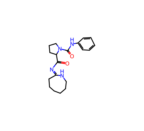 O=C(N=C1CCCCCCN1)C1CCCN1C(=O)Nc1ccccc1